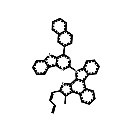 C=C/C=C\c1sc2c(c1C)c1ccccc1c1c3ccccc3n(-c3nc(-c4ccc5ccccc5c4)c4sc5ccccc5c4n3)c21